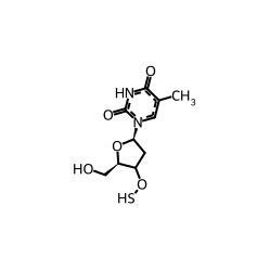 Cc1cn([C@H]2CC(OS)[C@@H](CO)O2)c(=O)[nH]c1=O